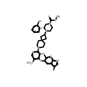 CCOC(=O)c1cnc(N2CCC3(CC2)CC(N2CCN(C(=O)OC(C)(C)C)C[C@H]2c2ccccc2C(C)C)C3)cc1Oc1cc2c(F)c[nH]c2nc1OC